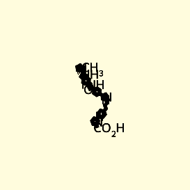 CN1CCC[C@@H]1c1cc2cnc(NC(=O)c3ccc(-c4cnn(CCCC5CCN(c6cccc(C(=O)O)n6)CC5)c4)cc3)cc2[nH]1